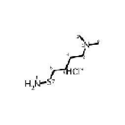 CN(C)CCCCSN.Cl